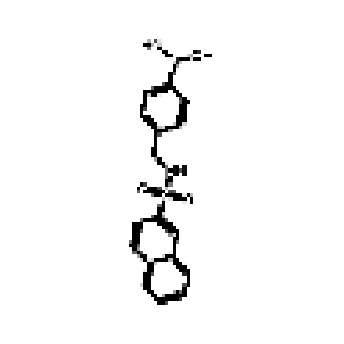 O=S(=O)(NCc1ccc(B(O)O)cc1)c1ccc2ccccc2c1